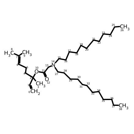 C=CC(C)(CCC=C(C)C)OC(=O)CN(CCCCCCCCCCCC)CCCCCCCCCCCC